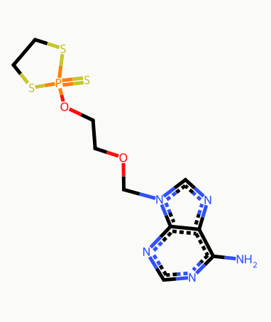 Nc1ncnc2c1ncn2COCCOP1(=S)SCCS1